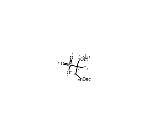 CCCCCCCCCCCC(F)(CCCCCCCC)S(=O)(=O)[O-].[Na+]